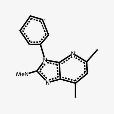 CNc1nc2c(C)cc(C)nc2n1-c1c[c]ccc1